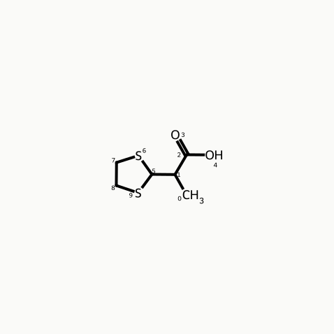 CC(C(=O)O)C1SCCS1